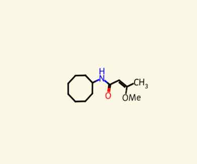 CO/C(C)=C\C(=O)NC1CCCCCCC1